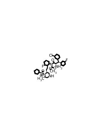 COC(=O)N(C(=O)[C@@H](N)[C@H](c1cccc(F)c1)c1cccc(Cl)c1)c1cccc(F)c1CC[C@H]1CNC[C@H](C)N1S(=O)(=O)c1ccccc1